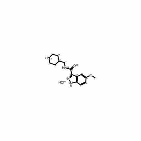 COc1ccc2[nH]nc(C(=O)NCC3CCNCC3)c2c1.Cl